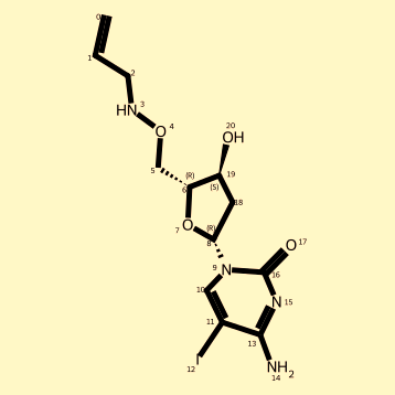 C=CCNOC[C@H]1O[C@@H](n2cc(I)c(N)nc2=O)C[C@@H]1O